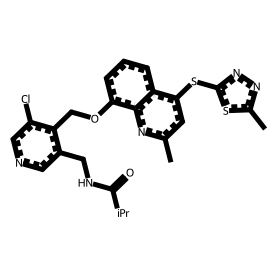 Cc1cc(Sc2nnc(C)s2)c2cccc(OCc3c(Cl)cncc3CNC(=O)C(C)C)c2n1